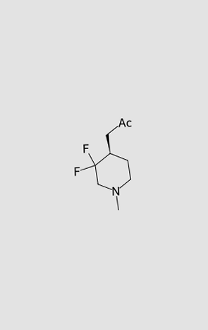 CC(=O)C[C@H]1CCN(C)CC1(F)F